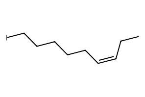 CC/C=C\CCCCCI